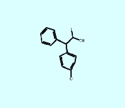 OC(I)C(c1ccccc1)c1ccc(Cl)cc1